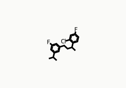 CC(C)c1cc(F)cc(CCC(C)c2ccc(F)cc2Cl)c1